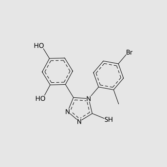 Cc1cc(Br)ccc1-n1c(S)nnc1-c1ccc(O)cc1O